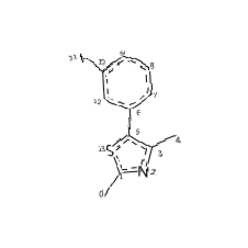 Cc1nc(C)c(-c2cccc(I)c2)s1